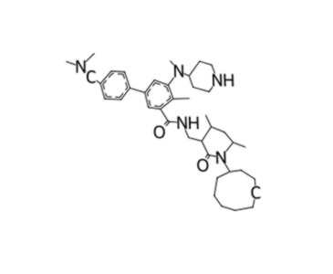 Cc1c(C(=O)NCC2C(=O)N(C3CCCCCCCC3)C(C)CC2C)cc(-c2ccc(CN(C)C)cc2)cc1N(C)C1CCNCC1